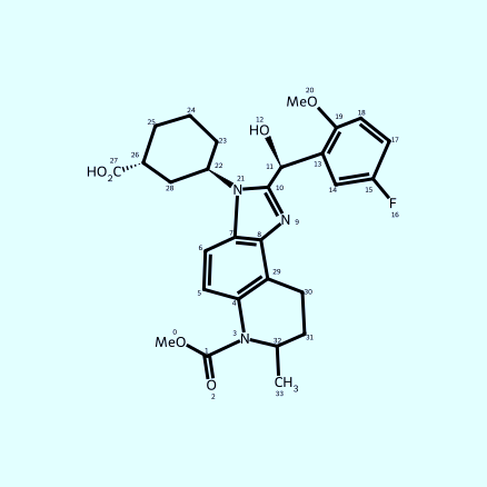 COC(=O)N1c2ccc3c(nc([C@@H](O)c4cc(F)ccc4OC)n3[C@@H]3CCC[C@@H](C(=O)O)C3)c2CCC1C